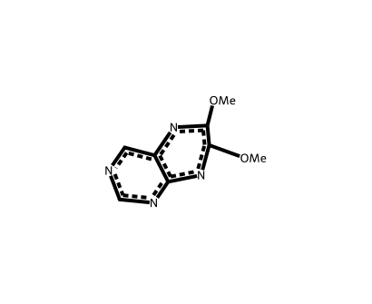 COc1nc2cncnc2nc1OC